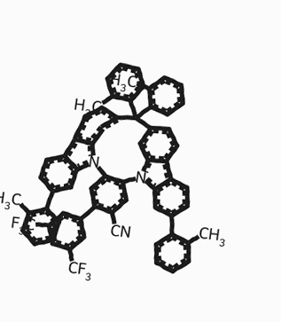 Cc1ccccc1-c1ccc2c3ccc4cc3n(c2c1)-c1cc(C#N)c(-c2cc(C(F)(F)F)cc(C(F)(F)F)c2)cc1-n1c2cc(-c3ccccc3C)ccc2c2ccc(cc21)C4(c1ccccc1C)c1ccccc1C